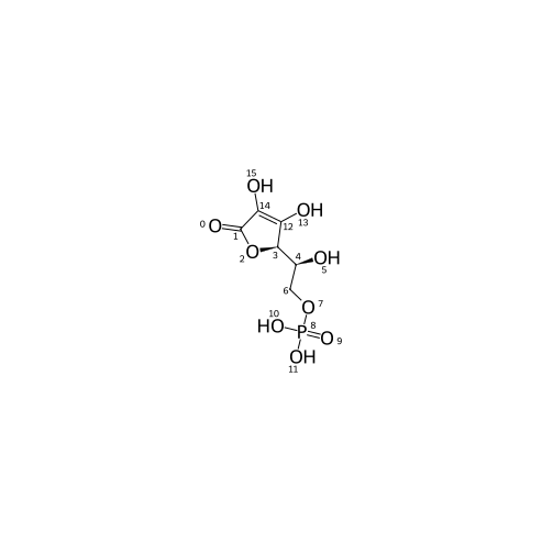 O=C1O[C@H]([C@@H](O)COP(=O)(O)O)C(O)=C1O